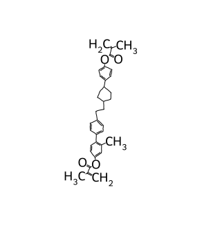 C=C(C)C(=O)Oc1ccc(C2CCC(CCc3ccc(-c4ccc(OC(=O)C(=C)C)cc4C)cc3)CC2)cc1